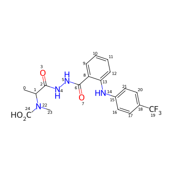 CC(C(=O)NNC(=O)c1ccccc1Nc1ccc(C(F)(F)F)cc1)N(C)C(=O)O